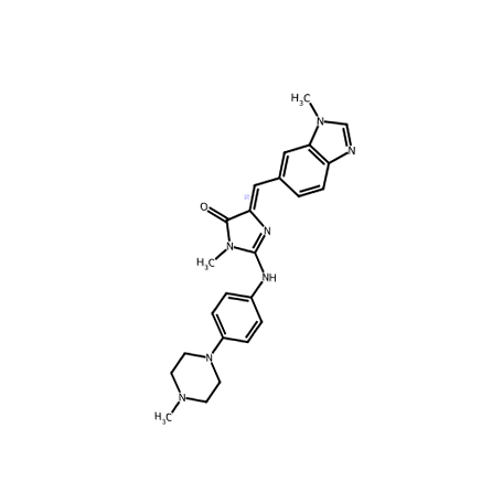 CN1CCN(c2ccc(NC3=N/C(=C\c4ccc5ncn(C)c5c4)C(=O)N3C)cc2)CC1